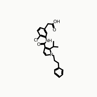 CC(C)c1c(C(=O)Nc2cc(CC(=O)O)ccc2Cl)ccn1CCCc1ccccc1